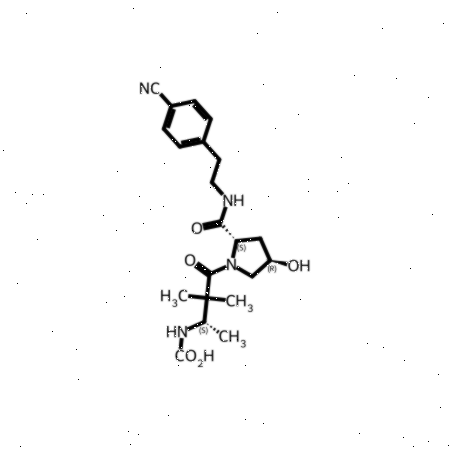 C[C@H](NC(=O)O)C(C)(C)C(=O)N1C[C@H](O)C[C@H]1C(=O)NCCc1ccc(C#N)cc1